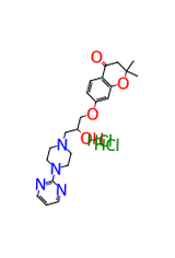 CC1(C)CC(=O)c2ccc(OCC(O)CN3CCN(c4ncccn4)CC3)cc2O1.Cl.Cl